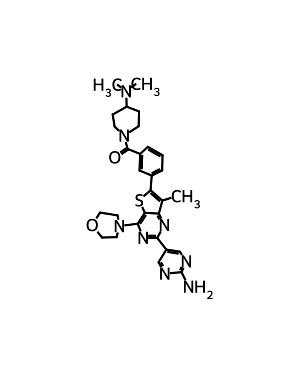 Cc1c(-c2cccc(C(=O)N3CCC(N(C)C)CC3)c2)sc2c(N3CCOCC3)nc(-c3cnc(N)nc3)nc12